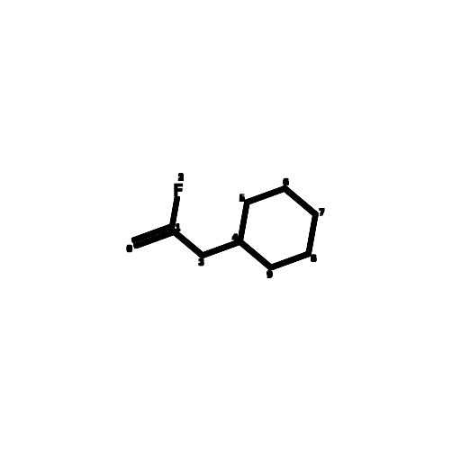 C=C(F)CC1CCCCC1